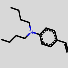 [CH]=Cc1ccc(N(CCCC)CCCC)cc1